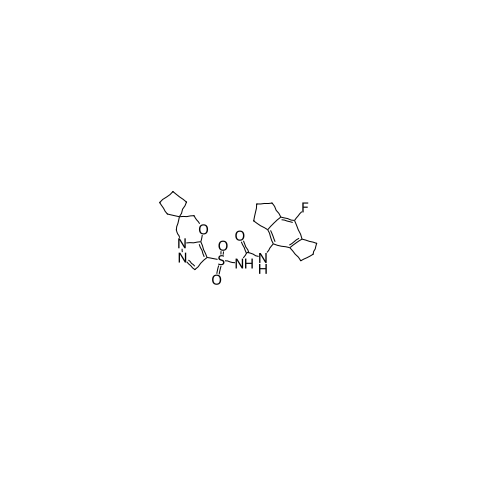 O=C(Nc1c2c(c(F)c3c1CCC3)CCC2)NS(=O)(=O)c1cnn2c1OCC1(CCCC1)C2